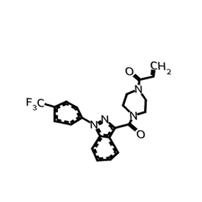 C=CC(=O)N1CCN(C(=O)c2nn(-c3ccc(C(F)(F)F)cc3)c3ccccc23)CC1